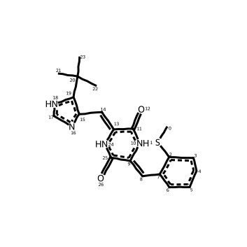 CSc1ccccc1/C=c1\[nH]c(=O)/c(=C/c2nc[nH]c2C(C)(C)C)[nH]c1=O